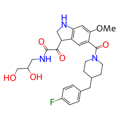 COc1cc2c(cc1C(=O)N1CCC(Cc3ccc(F)cc3)CC1)C(C(=O)C(=O)NCC(O)CO)CN2